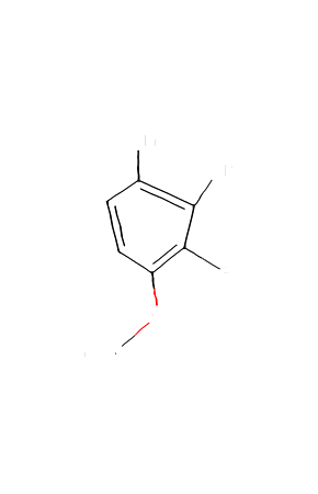 CCCCCCOc1ccc(CCC)c(CCC)c1CC